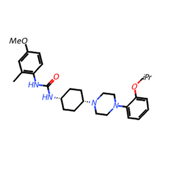 COc1ccc(NC(=O)N[C@H]2CC[C@@H](N3CCN(c4ccccc4OC(C)C)CC3)CC2)c(C)c1